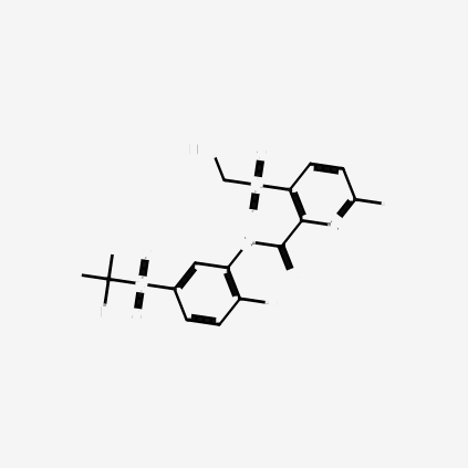 CCS(=O)(=O)c1ccc(Cl)nc1C(=O)Nc1cc(S(=O)(=O)C(F)(F)F)ccc1O